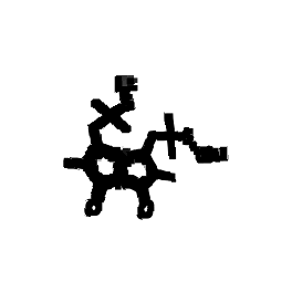 CCSC(C)(C)Cc1c(C)c(=O)n2c(=O)c(C)c(CC(C)(C)SC(C)(C)C)n12